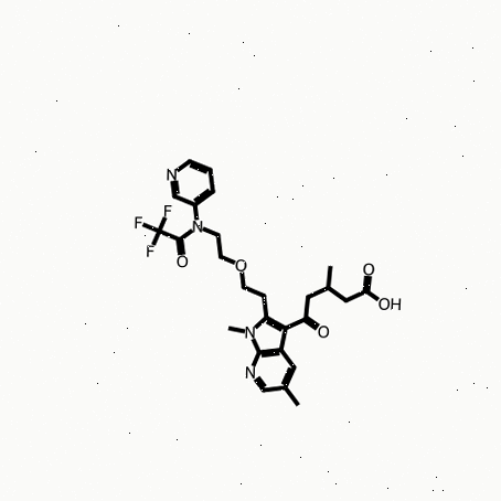 Cc1cnc2c(c1)c(C(=O)CC(C)CC(=O)O)c(CCOCCN(C(=O)C(F)(F)F)c1cccnc1)n2C